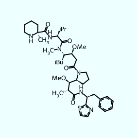 CC[C@H](C)[C@@H]([C@H](CC(=O)N1CCC[C@H]1[C@H](OC)[C@@H](C)C(=O)N[C@@H](Cc1ccccc1)c1nccs1)OC)N(C)C(=O)[C@@H](NC(=O)[C@]1(C)CCCCN1)C(C)C